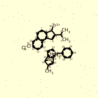 CC(C)C1=Cc2c(ccc3ccccc23)[CH]1[Zr+2].CC1=C2c3c(ccn3-c3ccccc3)C1[Si]2(C)C.[Cl-].[Cl-]